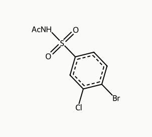 CC(=O)NS(=O)(=O)c1ccc(Br)c(Cl)c1